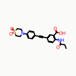 CCC(=O)Nc1ccc(C#Cc2ccc(N3CCS(=O)(=O)CC3)cc2)cc1C(=O)O